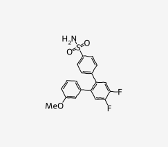 COc1cccc(-c2cc(F)c(F)cc2-c2ccc(S(N)(=O)=O)cc2)c1